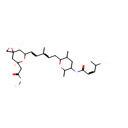 CCCNC(=O)C[C@]1(O)CC2(CO2)[C@H](O)C(/C=C/C(C)=C/CC2OC(C)C(NC(=O)/C=C\C(C)OC(C)=O)CC2C)O1